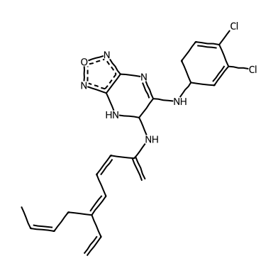 C=C/C(=C/C=C\C(=C)NC1Nc2nonc2N=C1NC1C=C(Cl)C(Cl)=CC1)C/C=C\C